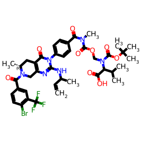 C=CC(C)Nc1nc2c(c(=O)n1-c1ccc(C(=O)N(C)C(=O)OCN(C(=O)OC(C)(C)C)C(C(=O)O)C(C)C)cc1)C[C@@H](C)N(C(=O)c1ccc(Br)c(C(F)(F)F)c1)C2